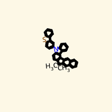 CC1(C)c2cc3ccccc3cc2-c2c1ccc1c2c2ccccc2n1-c1ccc2sc3ccccc3c2c1